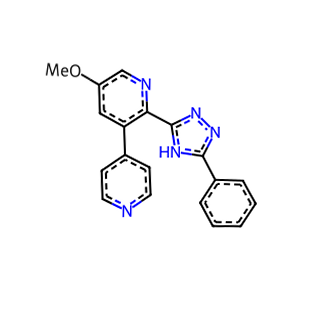 COc1cnc(-c2nnc(-c3ccccc3)[nH]2)c(-c2ccncc2)c1